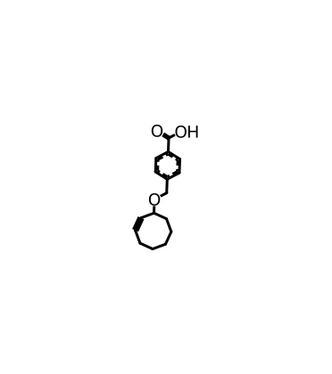 O=C(O)c1ccc(COC2C#CCCCCC2)cc1